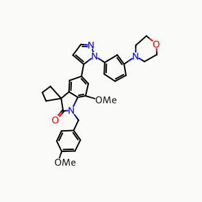 COc1ccc(CN2C(=O)C3(CCC3)c3cc(-c4ccnn4-c4cccc(N5CCOCC5)c4)cc(OC)c32)cc1